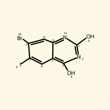 Oc1nc(O)c2cc(I)c(Br)cc2n1